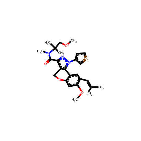 COCC(C)(C)N(C)C(=O)c1nn(-c2ccsc2)c2c1COc1cc(OC)c(C=C(C)C)cc1-2